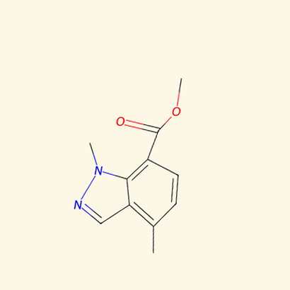 COC(=O)c1ccc(C)c2cnn(C)c12